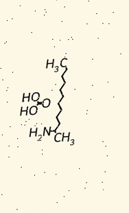 CCCCCCCCCCC(C)N.O=C(O)O